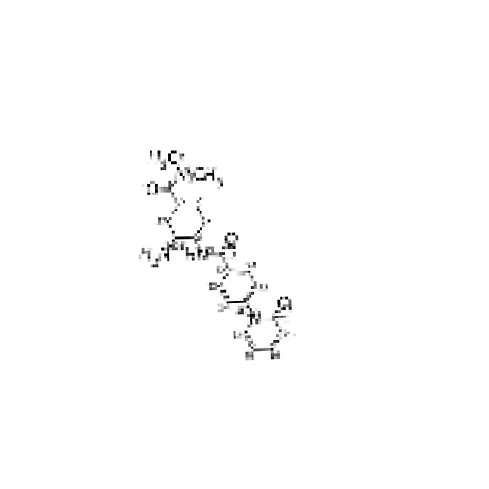 CN(C)C(=O)C1CCC(NC(=O)c2ccc(-n3ccccc3=O)cc2)C(N)C1